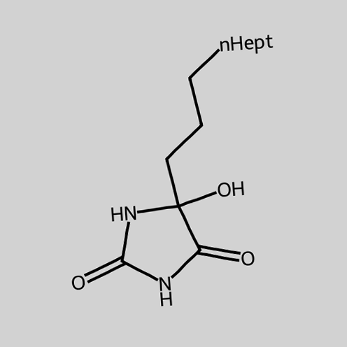 CCCCCCCCCCC1(O)NC(=O)NC1=O